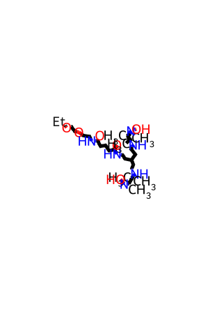 CCOCCOCCNC(=O)CCCC(=O)NCCC(CCNC(C)(C)/C(C)=N\O)CCNC(C)(C)/C(C)=N\O